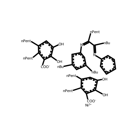 CCCCCC(=Nc1cc(CCCC)cc(CCCC)c1)C(CCCC)=Nc1ccccc1.CCCCCc1cc(O)c(O)c(C(=O)[O-])c1CCCCC.CCCCCc1cc(O)c(O)c(C(=O)[O-])c1CCCCC.[Ni+2]